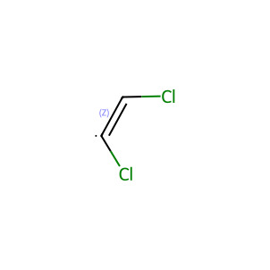 Cl/[C]=C\Cl